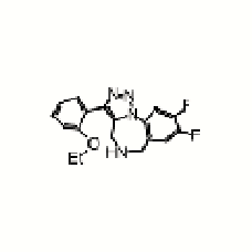 CCOc1ccccc1-c1nnn2c1CNCc1cc(F)c(F)cc1-2